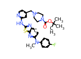 CN(c1ccc(F)cc1)c1ccc2nc(Nc3cc(CN4CCN(C(=O)OC(C)(C)C)CC4)ccn3)sc2n1